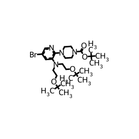 CC(C)(C)OCCN(CCOC(C)(C)C)c1cc(Br)cnc1N1CCN(C(=O)OC(C)(C)C)CC1